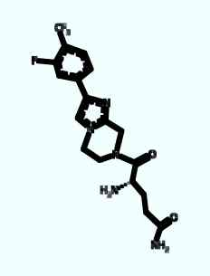 NC(=O)CC[C@H](N)C(=O)N1CCn2cc(-c3ccc(C(F)(F)F)c(F)c3)nc2C1